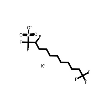 O=S(=O)([O-])C(F)(F)C(F)CCCCCCCCC(F)(F)F.[K+]